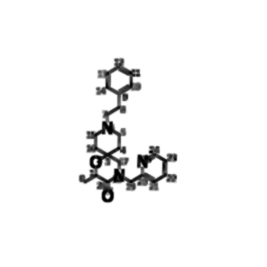 CC1OC2(CCN(CCc3ccccc3)CC2)CN(Cc2ccccn2)C1=O